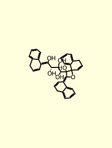 OC(=C1C=CCc2ccccc21)[C@@H](O)[C@@H](O)[C@H](O)[C@@]1(O)C(=C2C=CCc3ccccc32)OC12C=CCc1ccccc12